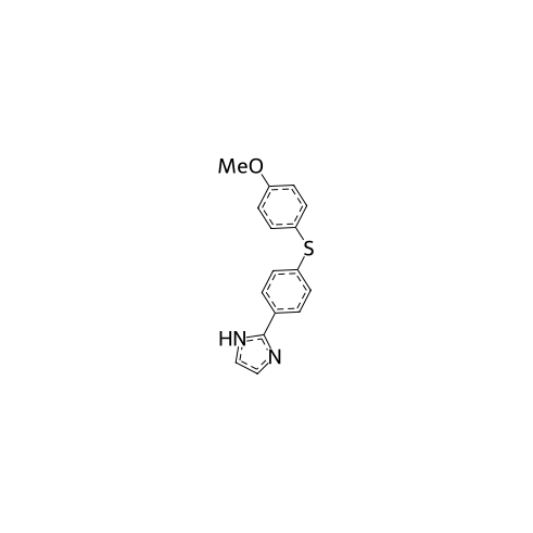 COc1ccc(Sc2ccc(-c3ncc[nH]3)cc2)cc1